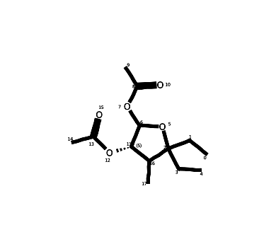 CCC1(CC)OC(OC(C)=O)[C@@H](OC(C)=O)C1C